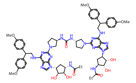 CCC(=O)N[C@H]1C[C@@H](n2cnc3c(NCC(c4ccc(OC)cc4)c4ccc(OC)cc4)nc(N4CC[C@@H](NC(=O)N[C@H]5CCN(c6nc(NCC(c7ccc(OC)cc7)c7ccc(OC)cc7)c7ncn([C@@H]8C[C@H](NC(=O)CC)[C@@H](O)[C@H]8O)c7n6)C5)C4)nc32)[C@H](O)[C@@H]1O